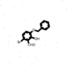 O=Cc1c(Br)ccc(OCc2ccccc2)c1O